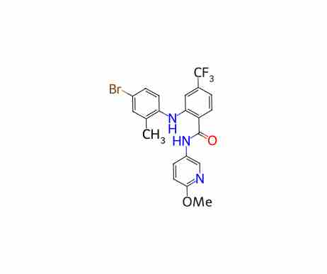 COc1ccc(NC(=O)c2ccc(C(F)(F)F)cc2Nc2ccc(Br)cc2C)cn1